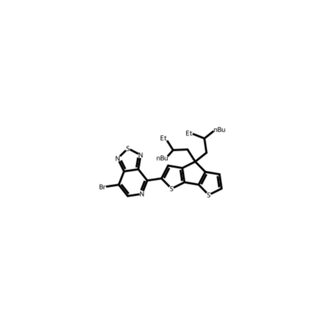 CCCCC(CC)CC1(CC(CC)CCCC)c2ccsc2-c2sc(-c3ncc(Br)c4nsnc34)cc21